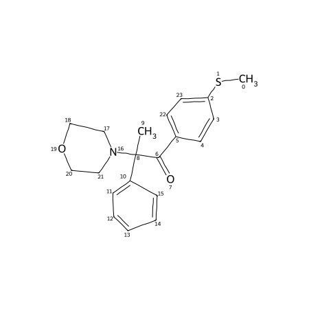 CSc1ccc(C(=O)C(C)(c2ccccc2)N2CCOCC2)cc1